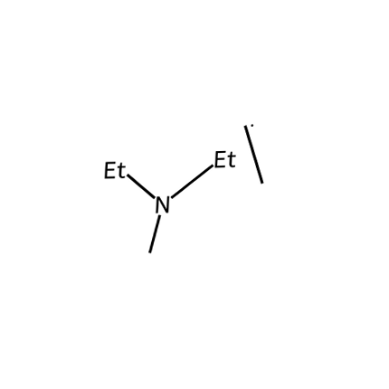 CCN(C)CC.[CH2]C